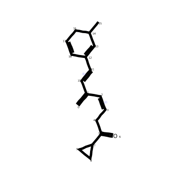 C=C(/C=C\CC(=O)C1CC1)/C=C/C1=CC(C)CC=C1